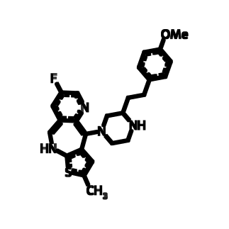 COc1ccc(CCC2CN(C3=c4ncc(F)cc4=CNc4sc(C)cc43)CCN2)cc1